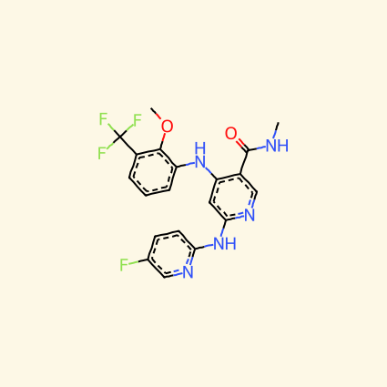 CNC(=O)c1cnc(Nc2ccc(F)cn2)cc1Nc1cccc(C(F)(F)F)c1OC